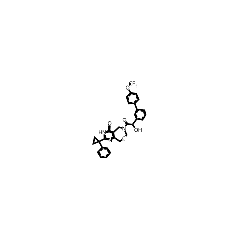 O=C(C(O)c1cccc(-c2ccc(OC(F)(F)F)cc2)c1)N1CCCc2nc(C3(c4ccccc4)CC3)[nH]c(=O)c2C1